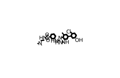 Cc1cc(-c2cc(O)ccc2Cl)cc2c1N=C(Nc1cccc(S(=O)(=O)NCCN(C)C)c1)NN2